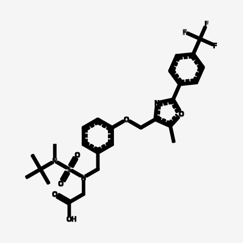 Cc1oc(-c2ccc(C(F)(F)F)cc2)nc1COc1cccc(CN(CC(=O)O)S(=O)(=O)N(C)C(C)(C)C)c1